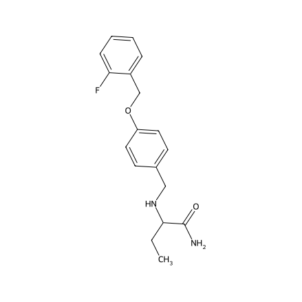 CCC(NCc1ccc(OCc2ccccc2F)cc1)C(N)=O